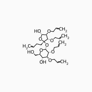 C=CCC[C@@]1(O[C@H]2O[C@H](CO)[C@@H](O)[C@H](OCC=C)[C@H]2OCC=C)O[C@H](O)[C@@H](OCC=C)[C@@H]1OCC=C